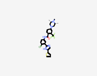 C[C@@H]1CN(c2ccc(C(=O)Nc3ccc(Cl)c(-c4ncc(-c5cccs5)[nH]4)c3)c(C(F)(F)F)c2)C[C@H](C)N1C